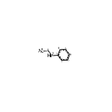 CC(=O)CPc1ccccc1